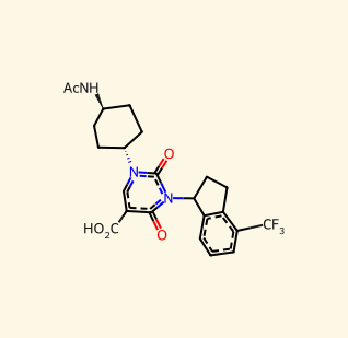 CC(=O)N[C@H]1CC[C@H](n2cc(C(=O)O)c(=O)n(C3CCc4c3cccc4C(F)(F)F)c2=O)CC1